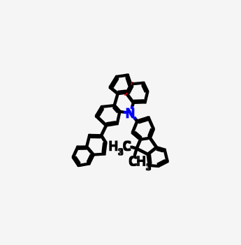 CC1(C)c2ccccc2-c2ccc(N(c3ccccc3)c3cc(-c4ccc5ccccc5c4)ccc3-c3ccccc3)cc21